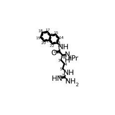 CC(C)N[C@@H](CCCNC(=N)N)C(=O)Nc1ccc2ccccc2c1